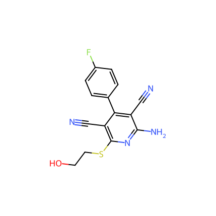 N#Cc1c(N)nc(SCCO)c(C#N)c1-c1ccc(F)cc1